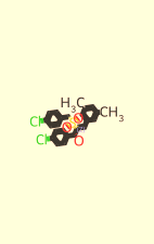 Cc1cc(C)cc(/C=C(/C(=O)c2ccc(Cl)cc2)S(=O)(=O)Cc2ccc(Cl)cc2)c1